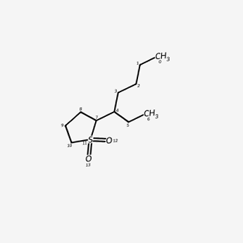 CCCCC(CC)C1CCCS1(=O)=O